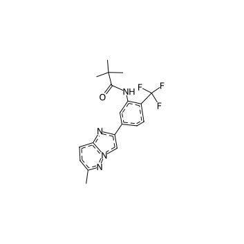 Cc1ccc2nc(-c3ccc(C(F)(F)F)c(NC(=O)C(C)(C)C)c3)cn2n1